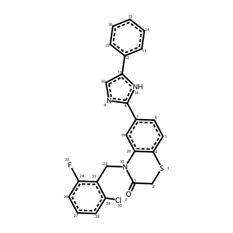 O=C1CSc2ccc(-c3ncc(-c4ccccc4)[nH]3)cc2N1Cc1c(F)cccc1Cl